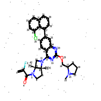 C=C(F)C(=O)N1CC[C@@H]2[C@H]1CN2c1nc(OCC2CCCN2C)nc2cc(-c3cccc4cccc(Cl)c34)ccc12